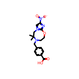 CC1(C)Cn2cc([N+](=O)[O-])nc2OCCN1Cc1ccc(C(=O)O)cc1